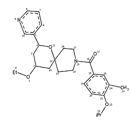 CCOC1CC(c2cccnc2)OC2(CCN(C(=O)c3ccc(OC(C)C)c(C)c3)CC2)C1